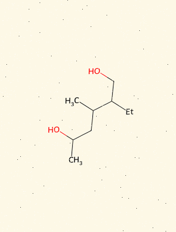 CCC(CO)C(C)CC(C)O